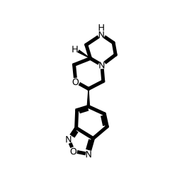 c1cc2nonc2cc1[C@@H]1CN2CCNC[C@H]2CO1